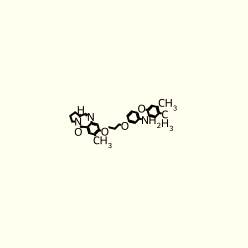 Cc1ccc(Oc2ccc(OCCCOc3cc4c(cc3C)C(=O)N3CCC[C@H]3C=N4)cc2N)cc1C